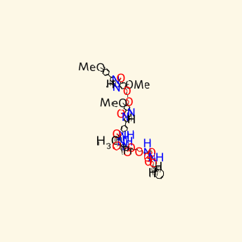 COc1ccc(C2=CN3C(=O)c4cc(OC)c(OCCCOc5cc6c(cc5OC)C(=O)N5C=C(c7ccc(NC(=O)[C@@H](C)NC(=O)[C@H](NC(=O)OCCOCCNS(=O)(=O)NC(=O)OC[C@@H]8[C@@H]9CCC#CCC[C@@H]98)C(C)C)cc7)C[C@H]5C=N6)cc4N=C[C@@H]3C2)cc1